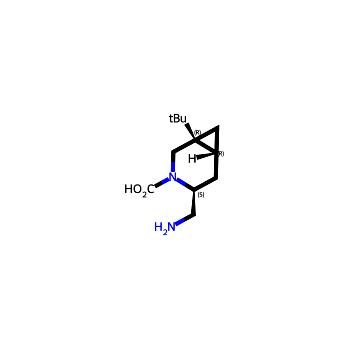 CC(C)(C)[C@@]12C[C@@H]1C[C@@H](CN)N(C(=O)O)C2